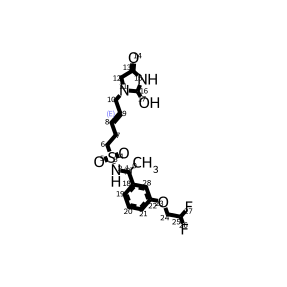 C[C@@H](NS(=O)(=O)CC/C=C/CN1CC(=O)NC1O)c1cccc(OCC(F)F)c1